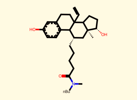 C=CC12CCc3cc(O)ccc3C1[C@@H](CCCCC(=O)N(C)CCCC)C[C@@]1(C)C2CC[C@@H]1O